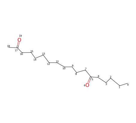 CCCCCC(=O)CCCCCCCCCCC(C)=O